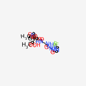 CCC(C)(C)C(=O)C(=O)N1CCCC[C@H]1C(=O)O[C@H](CCc1ccc(OC)c(CO)c1)c1ccc(OCC(=O)NCCCCC(N)C(=O)NCCCNC(=O)c2ccccc2Nc2cccc(C(F)(F)F)c2)cc1